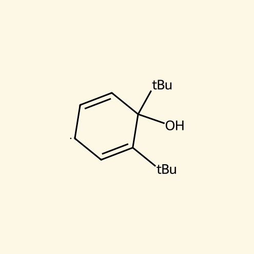 CC(C)(C)C1=C[CH]C=CC1(O)C(C)(C)C